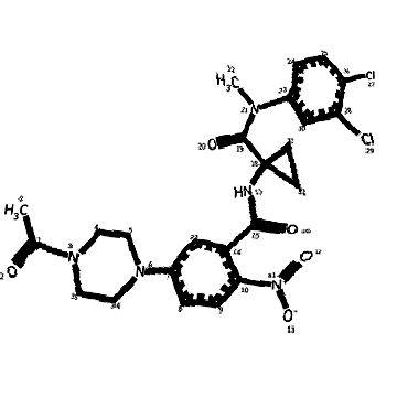 CC(=O)N1CCN(c2ccc([N+](=O)[O-])c(C(=O)NC3(C(=O)N(C)c4ccc(Cl)c(Cl)c4)CC3)c2)CC1